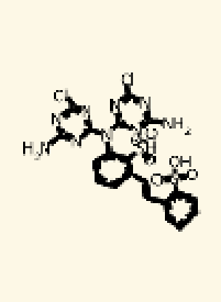 Nc1nc(Cl)nc(N(c2nc(N)nc(Cl)n2)c2cccc(C=Cc3ccccc3S(=O)(=O)O)c2S(=O)(=O)O)n1